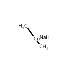 [CH3][Co][CH3].[NaH]